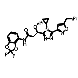 CC(C)Cc1cc(-c2nnc([C@H](CC(=O)Nc3cccc4c3OC(F)(F)O4)OC(C)C)n2C2CC2)no1